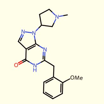 COc1ccccc1Cc1nc2c(cnn2C2CCN(C)C2)c(=O)[nH]1